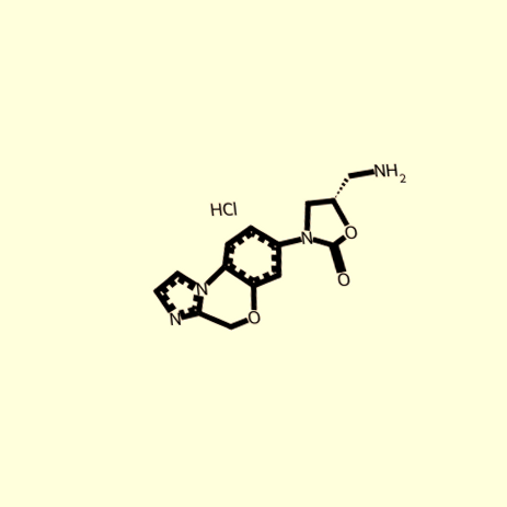 Cl.NC[C@H]1CN(c2ccc3c(c2)OCc2nccn2-3)C(=O)O1